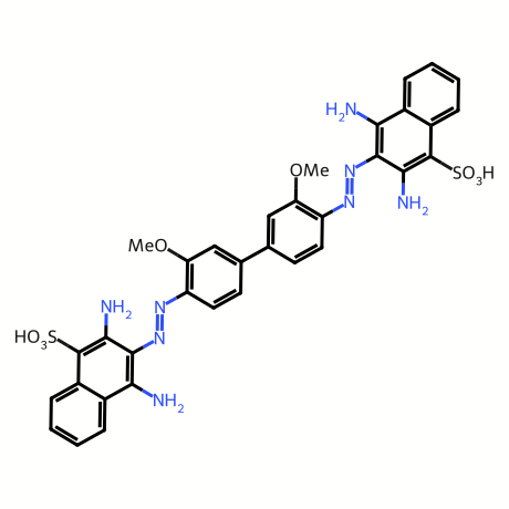 COc1cc(-c2ccc(/N=N/c3c(N)c(S(=O)(=O)O)c4ccccc4c3N)c(OC)c2)ccc1/N=N/c1c(N)c(S(=O)(=O)O)c2ccccc2c1N